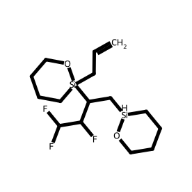 C=CC[Si]1(C(C[SiH]2CCCCO2)C(F)C(F)F)CCCCO1